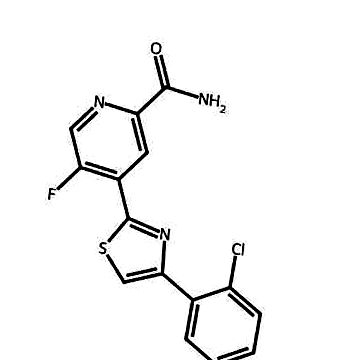 NC(=O)c1cc(-c2nc(-c3ccccc3Cl)cs2)c(F)cn1